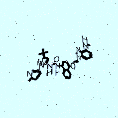 CNc1cccc2c1ncn2CCOc1ccc(NC(=O)Nc2cc(C(C)(C)C)nn2-c2ccc(C)nc2)c2ccccc12